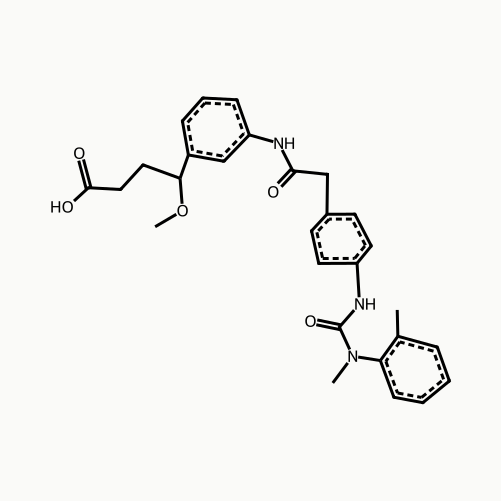 COC(CCC(=O)O)c1cccc(NC(=O)Cc2ccc(NC(=O)N(C)c3ccccc3C)cc2)c1